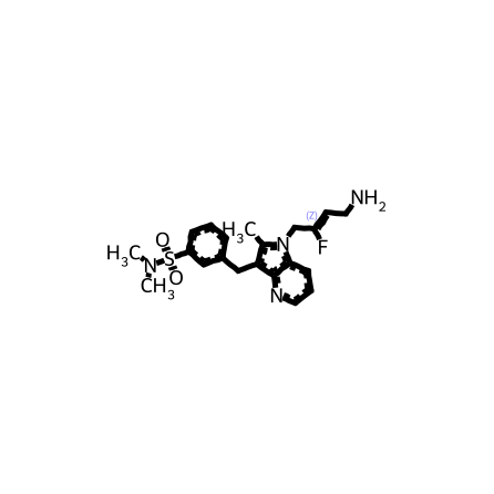 Cc1c(Cc2cccc(S(=O)(=O)N(C)C)c2)c2ncccc2n1C/C(F)=C/CN